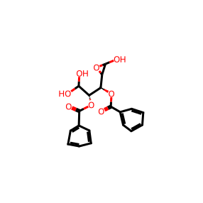 O=C(O[C@H](C(O)O)[C@H](OC(=O)c1ccccc1)C1OC1O)c1ccccc1